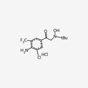 CC(C)(C)N(O)CC(=O)c1cc(Cl)c(N)c(C(F)(F)F)c1.Cl